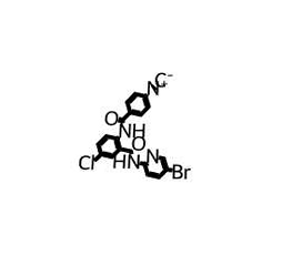 [C-]#[N+]c1ccc(C(=O)Nc2ccc(Cl)cc2C(=O)Nc2ccc(Br)cn2)cc1